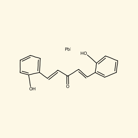 O=C(C=Cc1ccccc1O)C=Cc1ccccc1O.[Pb]